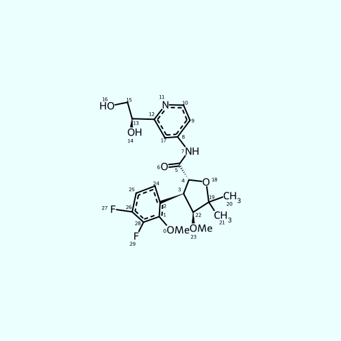 COc1c([C@H]2[C@H](C(=O)Nc3ccnc([C@@H](O)CO)c3)OC(C)(C)[C@H]2OC)ccc(F)c1F